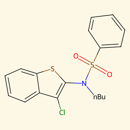 CCCCN(c1sc2ccccc2c1Cl)S(=O)(=O)c1ccccc1